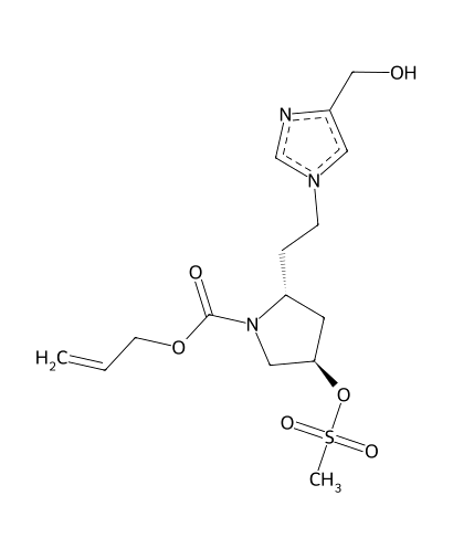 C=CCOC(=O)N1C[C@H](OS(C)(=O)=O)C[C@H]1CCn1cnc(CO)c1